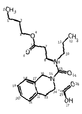 CCCCOC(=O)CCN(CCC)C(=O)N1Cc2ccccc2C[C@H]1C(=O)O